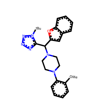 COc1ccccc1N1CCN(C(c2cc3ccccc3o2)c2nnnn2C(C)(C)C)CC1